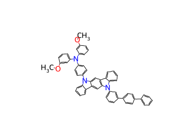 COc1cccc(N(c2ccc(-n3c4ccccc4c4cc5c(cc43)c3ccccc3n5-c3cccc(-c4ccc(-c5ccccc5)cc4)c3)cc2)c2cccc(OC)c2)c1